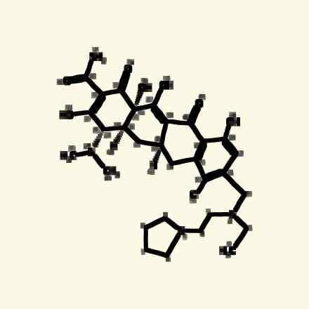 CCN(CCN1CCCC1)Cc1cc(O)c2c(c1Cl)C[C@H]1C[C@H]3[C@H](N(C)C)C(O)=C(C(N)=O)C(=O)[C@@]3(O)C(O)=C1C2=O